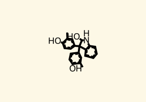 Cc1cc(C2(c3ccc(O)c(C)c3)c3ccccc3NC2O)ccc1O